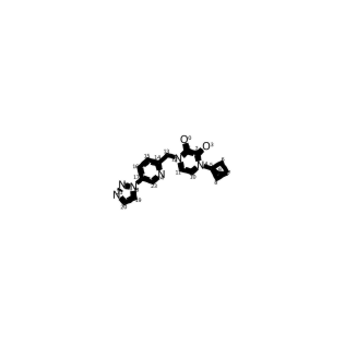 O=c1c(=O)n(C23CC(C2)C3)ccn1Cc1ccc(-n2ccnn2)cn1